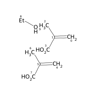 C=C(C)C(=O)O.C=C(C)C(=O)O.CCO